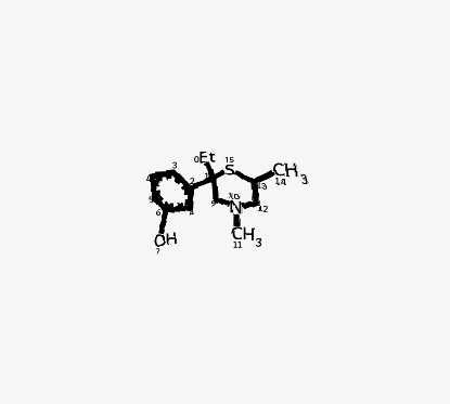 CCC1(c2cccc(O)c2)CN(C)CC(C)S1